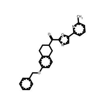 Cc1cccc(-c2cnc(C(=O)C3CCc4cc(OCc5ccccc5)ccc4C3)o2)n1